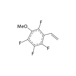 C=Cc1c(F)c(F)c(F)c(OC)c1F